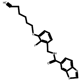 C#CCCCCCOc1cccc(CNC(=O)c2ccc3ncsc3c2)c1F